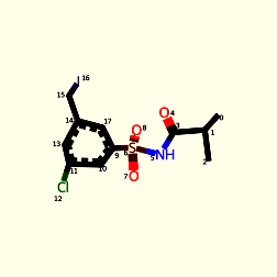 CC(C)C(=O)NS(=O)(=O)c1cc(Cl)cc(CI)c1